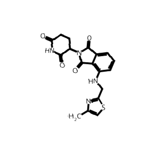 [CH2]c1csc(CNc2cccc3c2C(=O)N(C2CCC(=O)NC2=O)C3=O)n1